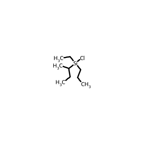 CCC[Si](Cl)(CC)C(C)CC